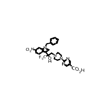 O=C(O)c1cnc(N2CCN(CC(O)(c3cn(Cc4ccccc4)c4cc([N+](=O)[O-])ccc34)C(F)(F)F)CC2)nc1